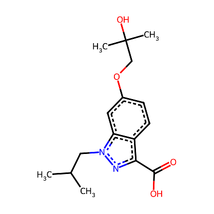 CC(C)Cn1nc(C(=O)O)c2ccc(OCC(C)(C)O)cc21